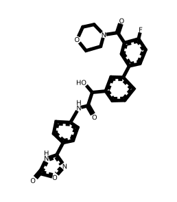 O=C(Nc1ccc(-c2noc(=O)[nH]2)cc1)C(O)c1cccc(-c2ccc(F)c(C(=O)N3CCOCC3)c2)c1